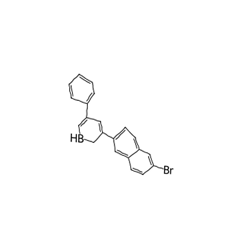 Brc1ccc2cc(C3=CC(c4ccccc4)=CBC3)ccc2c1